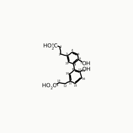 O=C(O)CCc1ccc(O)c(-c2cc(CCC(=O)O)ccc2O)c1